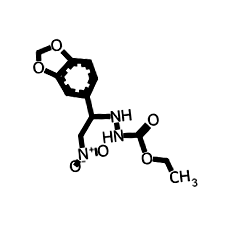 CCOC(=O)NNC(C[N+](=O)[O-])c1ccc2c(c1)OCO2